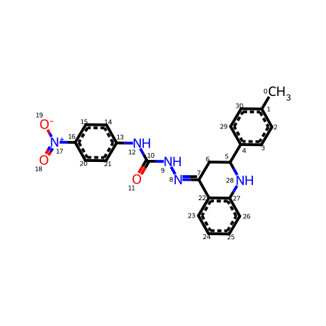 Cc1ccc(C2CC(=NNC(=O)Nc3ccc([N+](=O)[O-])cc3)c3ccccc3N2)cc1